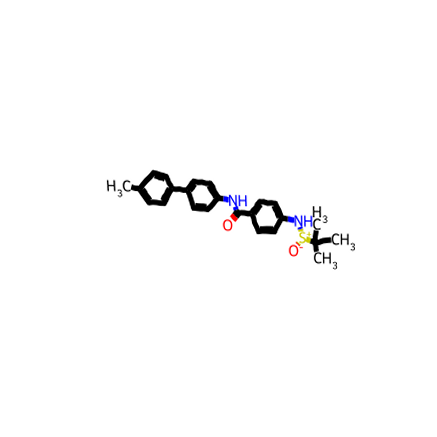 Cc1ccc(-c2ccc(NC(=O)c3ccc(N[S+]([O-])C(C)(C)C)cc3)cc2)cc1